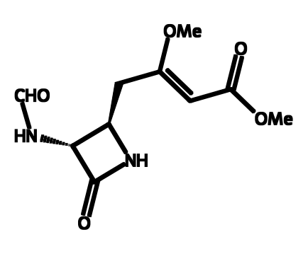 COC(=O)C=C(C[C@H]1NC(=O)[C@@H]1NC=O)OC